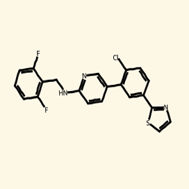 Fc1cccc(F)c1CNc1ccc(-c2cc(-c3nccs3)ccc2Cl)cn1